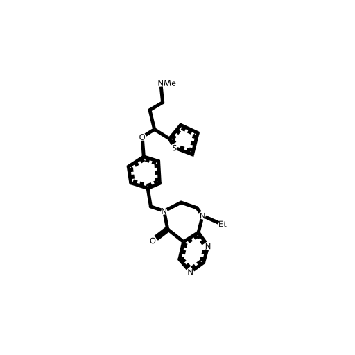 CCN1CCN(Cc2ccc(OC(CCNC)c3cccs3)cc2)C(=O)c2cncnc21